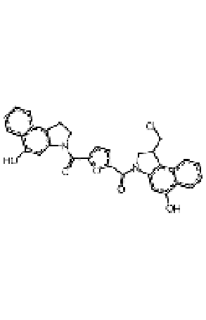 O=C(c1ccc(C(=O)N2CC(CCl)c3c2cc(O)c2ccccc32)o1)N1CCc2c1cc(O)c1ccccc21